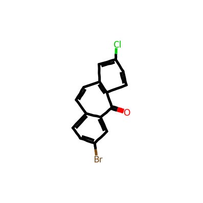 O=c1c2ccc(Cl)cc2ccc2ccc(Br)cc12